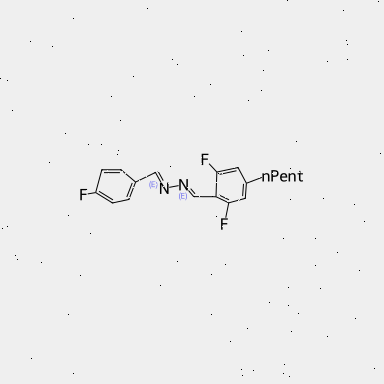 CCCCCc1cc(F)c(/C=N/N=C/c2ccc(F)cc2)c(F)c1